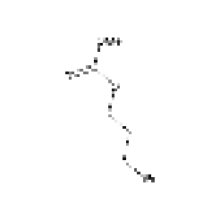 [CH2]OC(=O)OCCCC(C)C